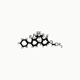 CCOc1ccc2c(c1F)C(F)(F)C(F)(F)c1c-2ccc(C2=CCCCC2)c1F